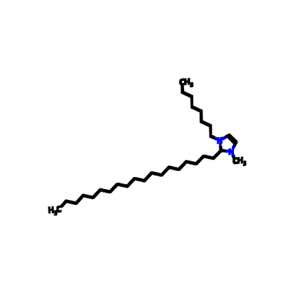 CCCCCCCCCCCCCCCCCCCC1N(C)C=CN1CCCCCCCC